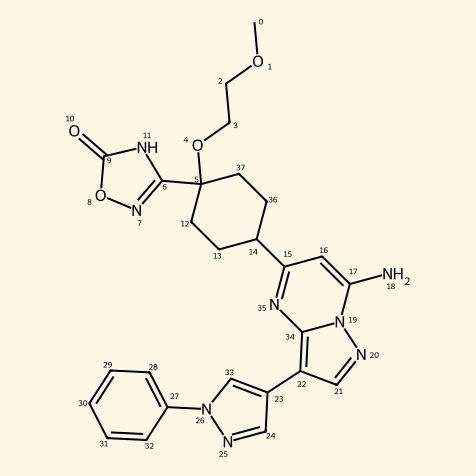 COCCOC1(c2noc(=O)[nH]2)CCC(c2cc(N)n3ncc(-c4cnn(-c5ccccc5)c4)c3n2)CC1